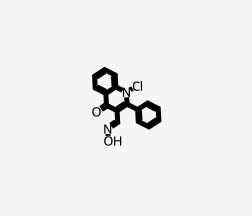 O=c1c(C=NO)c(-c2ccccc2)n(Cl)c2ccccc12